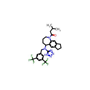 CC(C)CC(=O)N1CCCC(N(Cc2cc(C(F)(F)F)cc(C(F)(F)F)c2)c2nnn[nH]2)c2cc3c(cc21)CCC3